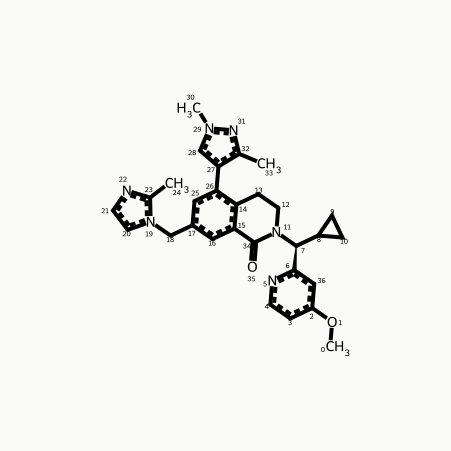 COc1ccnc([C@H](C2CC2)N2CCc3c(cc(Cn4ccnc4C)cc3-c3cn(C)nc3C)C2=O)c1